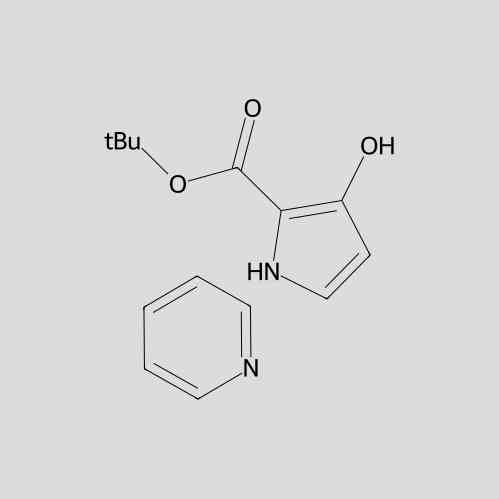 CC(C)(C)OC(=O)c1[nH]ccc1O.c1ccncc1